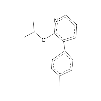 Cc1ccc(-c2cccnc2OC(C)C)cc1